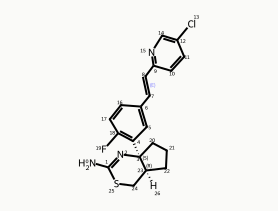 NC1=N[C@@]2(c3cc(/C=C/c4ccc(Cl)cn4)ccc3F)CCC[C@H]2CS1